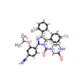 CC(C)Oc1cc(C#N)ccc1C1=N[C@@H](c2ccccc2Br)[C@@H](c2ccc(Cl)cc2)N1C(=O)N1CCNC(=O)C1